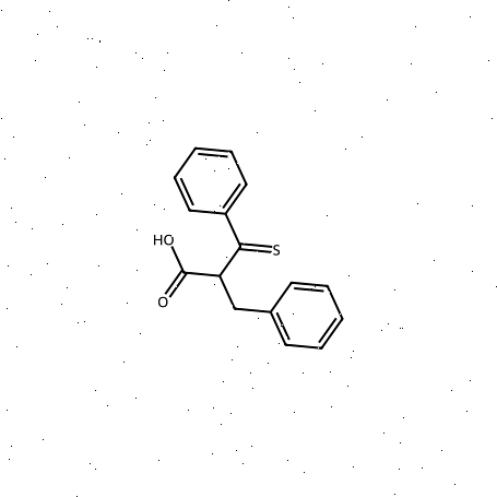 O=C(O)C(Cc1ccccc1)C(=S)c1ccccc1